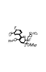 COC(=O)C(F)(COC=O)c1ccc(OC)c(-c2ccc(F)c(Cl)c2)n1